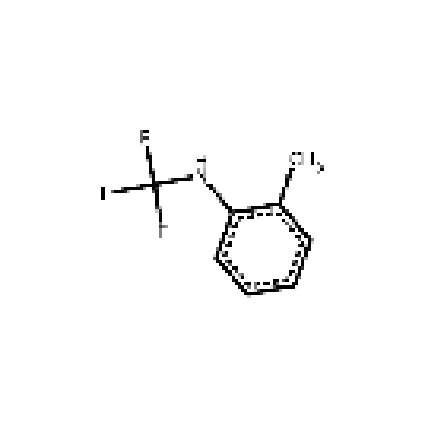 Cc1ccccc1NC(F)(F)F